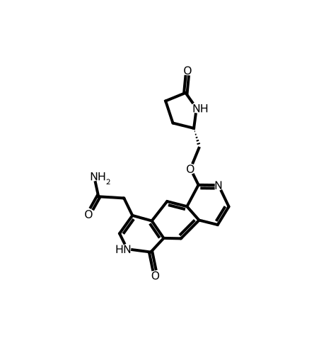 NC(=O)Cc1c[nH]c(=O)c2cc3ccnc(OC[C@@H]4CCC(=O)N4)c3cc12